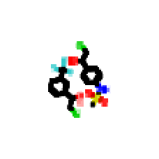 CS(=O)(=O)Nc1ccc(C(O)CCl)cc1.OC(CCl)c1cccc(C(F)(F)F)c1